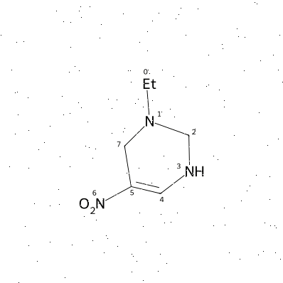 CCN1CNC=C([N+](=O)[O-])C1